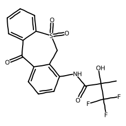 CC(O)(C(=O)Nc1cccc2c1CS(=O)(=O)c1ccccc1C2=O)C(F)(F)F